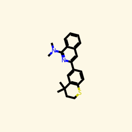 CN(C)c1nc(-c2ccc3c(c2)C(C)(C)CCS3)cc2ccccc12